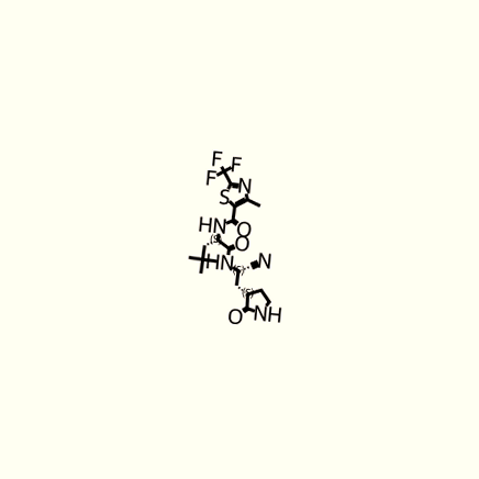 Cc1nc(C(F)(F)F)sc1C(=O)N[C@@H](CC(C)(C)C)C(=O)N[C@H](C#N)C[C@@H]1CCNC1=O